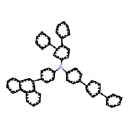 c1ccc(-c2ccc(-c3ccc(N(c4ccc(-c5cc6ccccc6c6ccccc56)cc4)c4ccc(-c5ccccc5)c(-c5ccccc5)c4)cc3)cc2)cc1